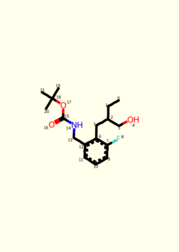 CCC(CO)Cc1c(F)cccc1CNC(=O)OC(C)(C)C